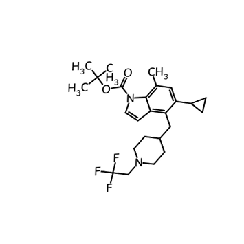 Cc1cc(C2CC2)c(CC2CCN(CC(F)(F)F)CC2)c2ccn(C(=O)OC(C)(C)C)c12